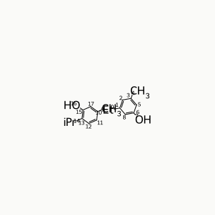 CCc1cc(C)cc(O)c1.Cc1ccc(C(C)C)c(O)c1